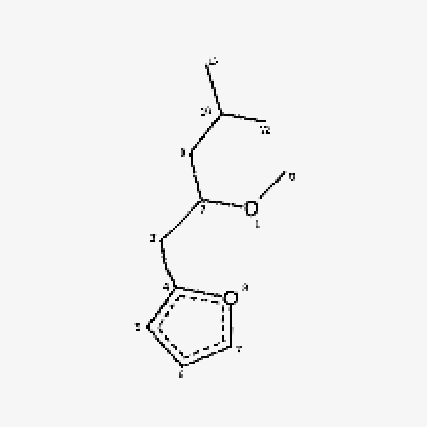 COC(Cc1ccco1)CC(C)C